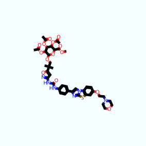 COC(=O)C1OC(OCC(C)(C)c2cc(NC(=O)Nc3ccc(-c4cn5c(n4)sc4cc(OCCN6CCOCC6)ccc45)cc3)no2)C(OC(C)=O)C(OC(C)=O)C1OC(C)=O